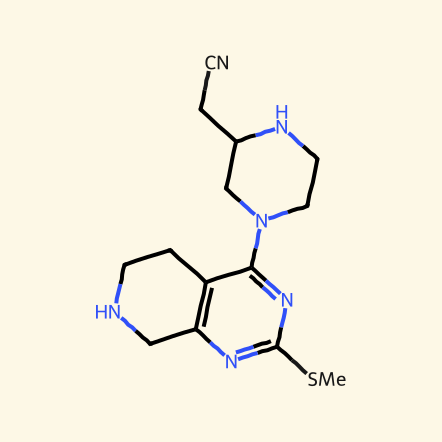 CSc1nc2c(c(N3CCNC(CC#N)C3)n1)CCNC2